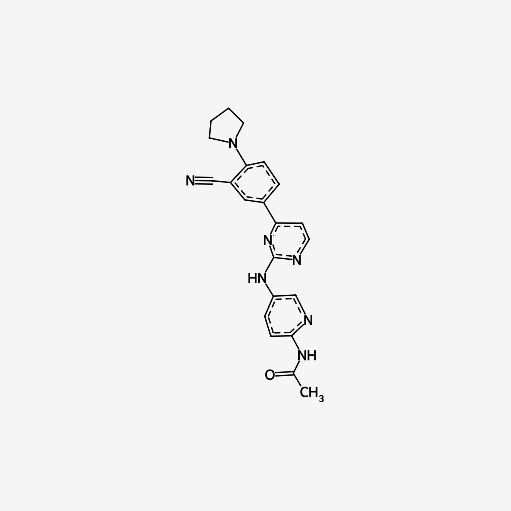 CC(=O)Nc1ccc(Nc2nccc(-c3ccc(N4CCCC4)c(C#N)c3)n2)cn1